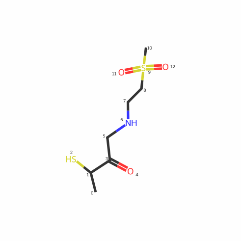 CC(S)C(=O)CNCCS(C)(=O)=O